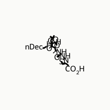 CCCCCCCCCCCCO[C@H]1[C@H]2OC(C)(C)O[C@H]2O[C@@H]1[C@H](C)NC(=O)Nc1nc(CC(=O)O)cs1